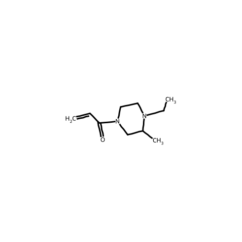 C=CC(=O)N1CCN(CC)C(C)C1